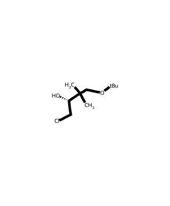 CC(C)(C)OCC(C)(C)[C@@H](O)CCl